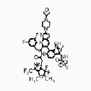 C[C@@H]1c2c(C(F)(F)F)nn(CC(=O)N[C@@H](Cc3cc(F)cc(F)c3)c3nc4nc(N5CCN(C6COC6)CC5)sc4cc3-c3cccc4c(NS(C)(=O)=O)nn(C)c34)c2C(F)(F)[C@@H]1C